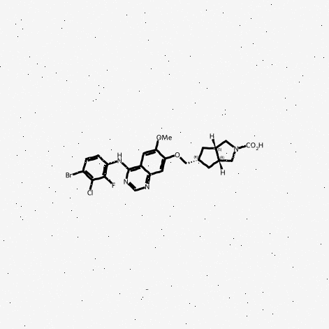 COc1cc2c(Nc3ccc(Br)c(Cl)c3F)ncnc2cc1OC[C@@H]1C[C@@H]2CN(C(=O)O)C[C@@H]2C1